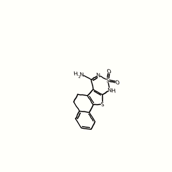 NC1=NS(=O)(=O)Nc2sc3c(c21)CCc1ccccc1-3